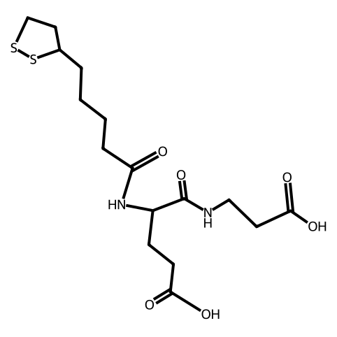 O=C(O)CCNC(=O)C(CCC(=O)O)NC(=O)CCCCC1CCSS1